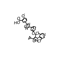 COc1ccc(-c2nc(C3CC4(OCc5c(-c6c(Cl)cncc6Cl)noc5C5CC5)CCC3CC4)no2)cc1C(=O)O